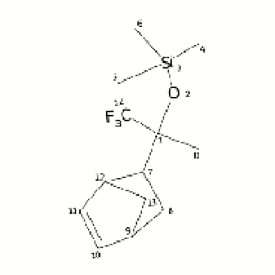 CC(O[Si](C)(C)C)(C1CC2C=CC1C2)C(F)(F)F